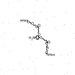 CCCCCCOCCOCCOC(=O)CCCCOc1ccc(N)cc1OCCCCC(=O)OCCOCCOCCCCCC